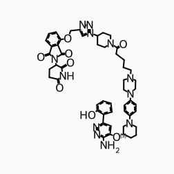 Nc1nnc(-c2ccccc2O)cc1O[C@H]1CCCN(c2ccc(N3CCN(CCCCC(=O)N4CCC(n5cc(COc6cccc7c6C(=O)N(C6CCC(=O)NC6=O)C7=O)nn5)CC4)CC3)cc2)C1